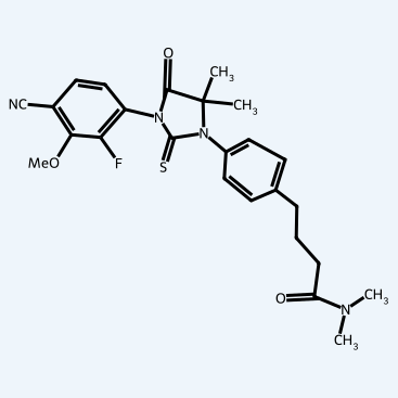 COc1c(C#N)ccc(N2C(=O)C(C)(C)N(c3ccc(CCCC(=O)N(C)C)cc3)C2=S)c1F